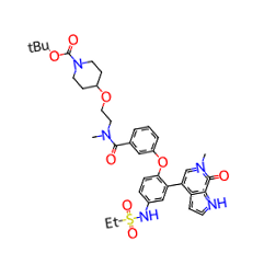 CCS(=O)(=O)Nc1ccc(Oc2cccc(C(=O)N(C)CCOC3CCN(C(=O)OC(C)(C)C)CC3)c2)c(-c2cn(C)c(=O)c3[nH]ccc23)c1